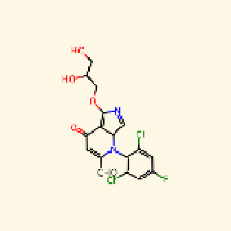 O=CC1=CC(=O)C2=C(OCC(O)CO)N=CC2N1c1c(Cl)cc(F)cc1Cl